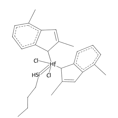 CCCC[SiH]=[Hf]([Cl])([Cl])([CH]1C(C)=Cc2c(C)cccc21)[CH]1C(C)=Cc2c(C)cccc21